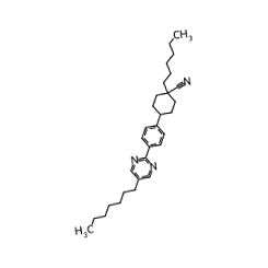 CCCCCCCc1cnc(-c2ccc(C3CCC(C#N)(CCCCCC)CC3)cc2)nc1